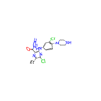 CCc1nc(C(N)=O)c(Nc2ccc(N3CCNCC3)c(Cl)c2)nc1Cl